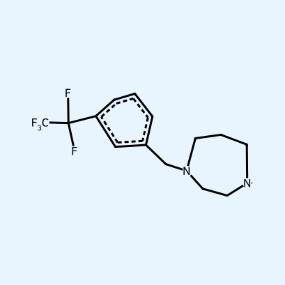 FC(F)(F)C(F)(F)c1cccc(CN2CCC[N]CC2)c1